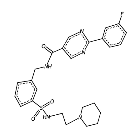 O=C(NCc1cccc(S(=O)(=O)NCCN2CCCCC2)c1)c1cnc(-c2cccc(F)c2)nc1